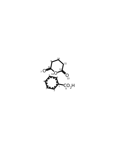 O=C(O)c1ccccc1.O=C1CCCC(=O)O1